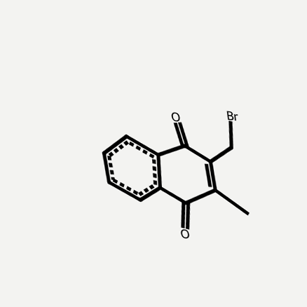 CC1=C(CBr)C(=O)c2ccccc2C1=O